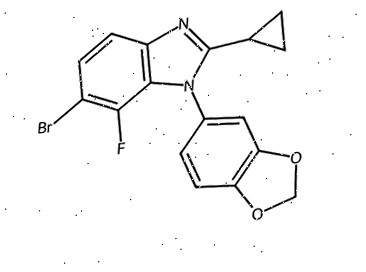 Fc1c(Br)ccc2nc(C3CC3)n(-c3ccc4c(c3)OCO4)c12